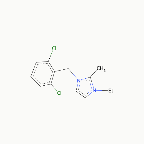 CCn1cc[n+](Cc2c(Cl)cccc2Cl)c1C